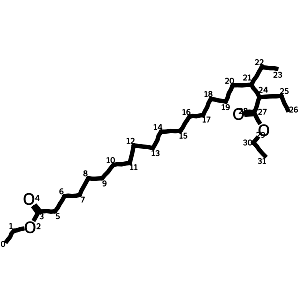 CCOC(=O)CCCCCCCCCCCCCCCCC(CC)C(CC)C(=O)OCC